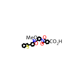 COc1ccc(N2C(=O)c3ccc(C(=O)O)cc3C2=O)cc1-c1nc2cc(-c3cc4ccccc4s3)ccc2o1